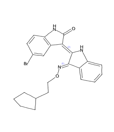 O=C1Nc2ccc(Br)cc2/C1=C1/Nc2ccccc2/C1=N\OCCC1CCCC1